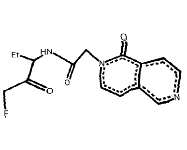 CCC(NC(=O)Cn1ccc2cnccc2c1=O)C(=O)CF